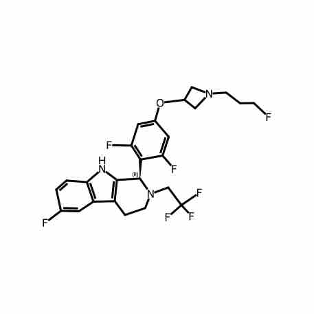 FCCCN1CC(Oc2cc(F)c([C@@H]3c4[nH]c5ccc(F)cc5c4CCN3CC(F)(F)F)c(F)c2)C1